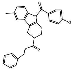 Cc1ccc2c(c1)c1c(n2C(=O)c2ccc(Cl)cc2)CCC(C(=O)OCc2ccccc2)C1